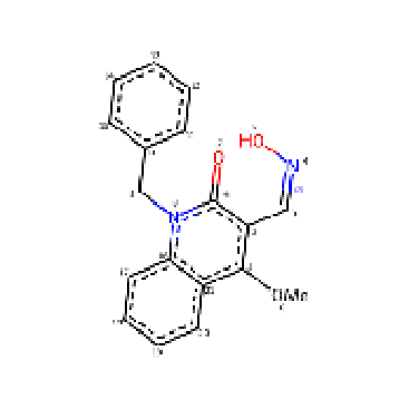 COc1c(/C=N\O)c(=O)n(Cc2ccccc2)c2ccccc12